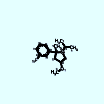 COC1CN(C(C)C)C(C)(c2cccc(F)c2)C1